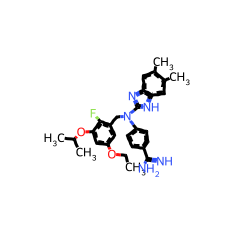 CCOc1cc(CN(c2ccc(C(=N)N)cc2)c2nc3cc(C)c(C)cc3[nH]2)c(F)c(OC(C)C)c1